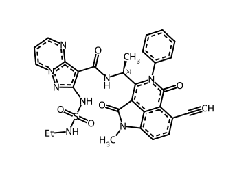 C#Cc1ccc2c3c(c([C@H](C)NC(=O)c4c(NS(=O)(=O)NCC)nn5cccnc45)n(-c4ccccc4)c(=O)c13)C(=O)N2C